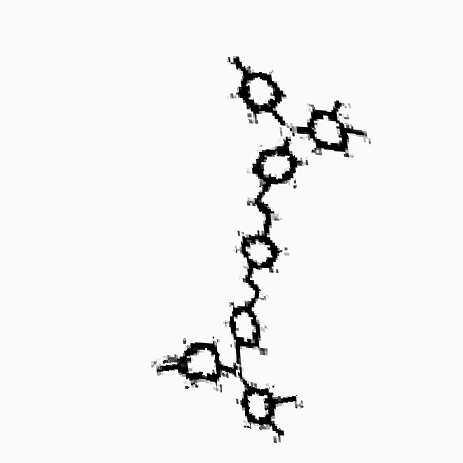 Cc1ccc(N(c2ccc(/C=C/c3ccc(/C=C/c4ccc(N(c5ccc(C)cc5)c5ccc(C)c(C)c5)cc4)cc3)cc2)c2ccc(C)c(C)c2)cc1